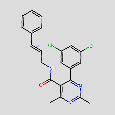 Cc1nc(C)c(C(=O)NC/C=C/c2ccccc2)c(-c2cc(Cl)cc(Cl)c2)n1